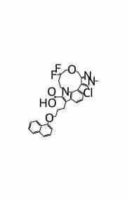 Cc1c2c(nn1C)COCC(F)(F)CCn1c(C(=O)O)c(CCCOc3cccc4ccccc34)c3ccc(Cl)c-2c31